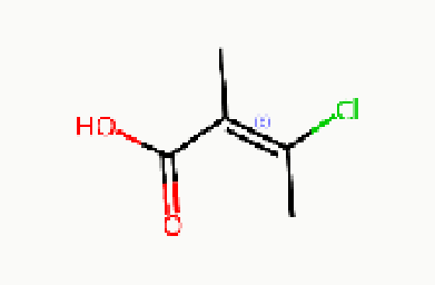 C/C(Cl)=C(/C)C(=O)O